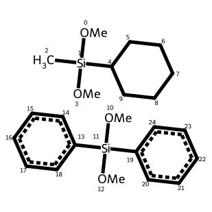 CO[Si](C)(OC)C1CCCCC1.CO[Si](OC)(c1ccccc1)c1ccccc1